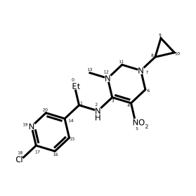 CCC(NC1=C([N+](=O)[O-])CN(C2CC2)CN1C)c1ccc(Cl)nc1